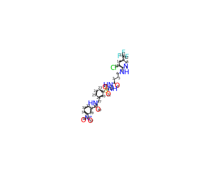 O=C(CCCNc1ncc(C(F)(F)F)cc1Cl)NNS(=O)(=O)c1cccc(CNC(=O)c2cccc([N+](=O)[O-])c2)c1